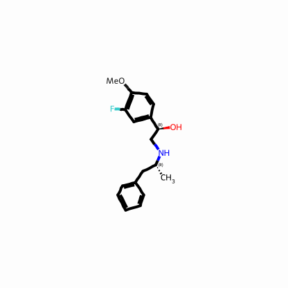 COc1ccc([C@@H](O)CN[C@H](C)Cc2ccccc2)cc1F